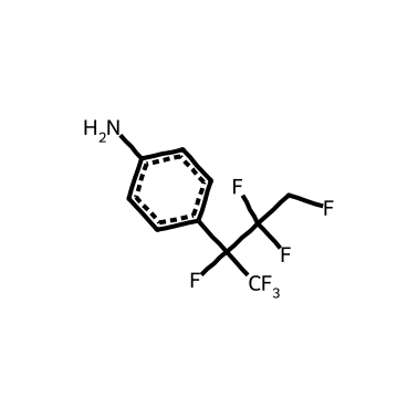 Nc1ccc(C(F)(C(F)(F)F)C(F)(F)CF)cc1